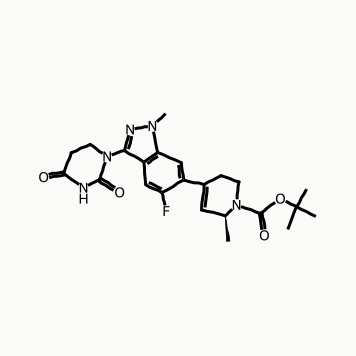 C[C@H]1C=C(c2cc3c(cc2F)c(N2CCC(=O)NC2=O)nn3C)CCN1C(=O)OC(C)(C)C